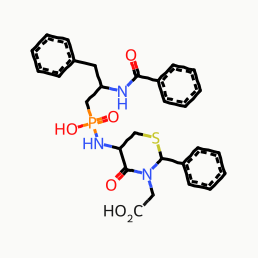 O=C(O)CN1C(=O)C(NP(=O)(O)CC(Cc2ccccc2)NC(=O)c2ccccc2)CSC1c1ccccc1